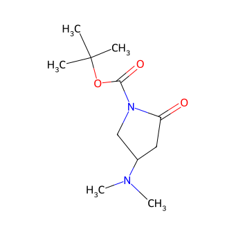 CN(C)C1CC(=O)N(C(=O)OC(C)(C)C)C1